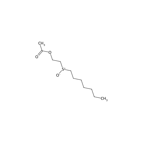 CCCCCCC[S+]([O-])CCOC(C)=O